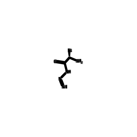 CC[C@H](N)C(=O)NN=N